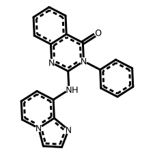 O=c1c2ccccc2nc(Nc2cccn3ccnc23)n1-c1ccccc1